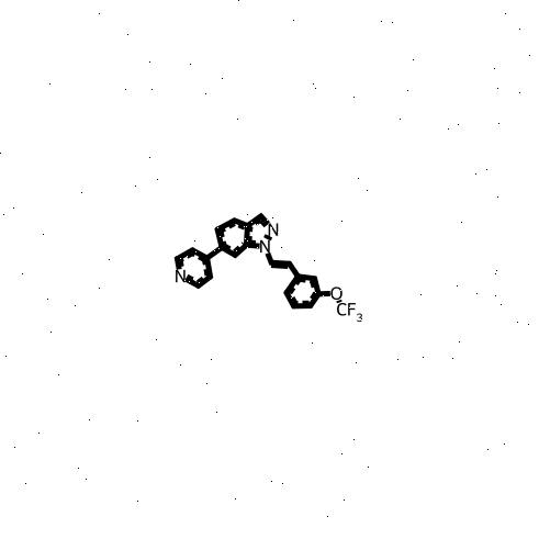 FC(F)(F)Oc1cccc(C=Cn2ncc3ccc(-c4ccncc4)cc32)c1